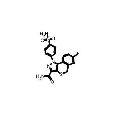 NC(=O)c1nn(-c2ccc(S(N)(=O)=O)cc2)c2c1SCc1cc(F)ccc1-2